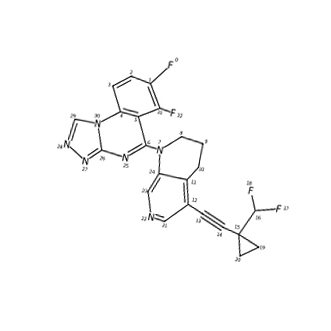 Fc1ccc2c(c(N3CCCc4c(C#CC5(C(F)F)CC5)cncc43)nc3nncn32)c1F